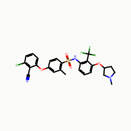 Cc1cc(Oc2cccc(Cl)c2C#N)ccc1S(=O)(=O)Nc1cccc(OC2CCN(C)C2)c1C(F)(F)F